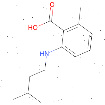 Cc1cccc(NCCC(C)C)c1C(=O)O